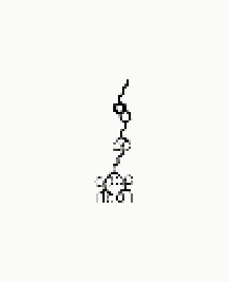 C=C(CO)C(=O)OCC(CCCCC1OCC(CCC2CCc3cc(CCCCC)ccc3C2)CO1)COC(=O)C(=C)CO